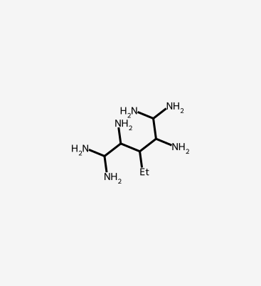 CCC(C(N)C(N)N)C(N)C(N)N